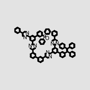 O=P(c1ccccc1)(c1ccccc1)c1cccc(-c2cc(-c3ncc(-c4ccccc4)cn3)cc(-c3ncc(-c4cccc(-c5cccc(-c6cnc(-c7cc(-c8cccc(C(=C(c9ccccc9)c9ccccc9)c9ccccc9)c8)cc(-c8ncc(-c9ccccc9)cn8)c7)nc6)c5)c4)cn3)c2)c1